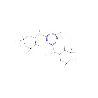 CCCCc1nc(N(CCCC)C2CC(C)(CC)NC(C)(CC)C2C)nc(N(CCCC)C2CC(C)(CC)NC(C)(CC)C2C)n1